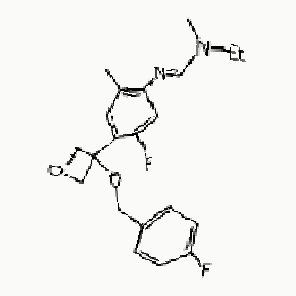 CCN(C)C=Nc1cc(F)c(C2(OCc3ccc(F)cc3)COC2)cc1C